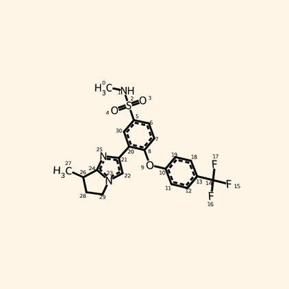 CNS(=O)(=O)c1ccc(Oc2ccc(C(F)(F)F)cc2)c(-c2cn3c(n2)C(C)CC3)c1